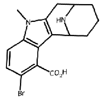 Cn1c2c(c3c(C(=O)O)c(Br)ccc31)C1CCCC(C2)N1